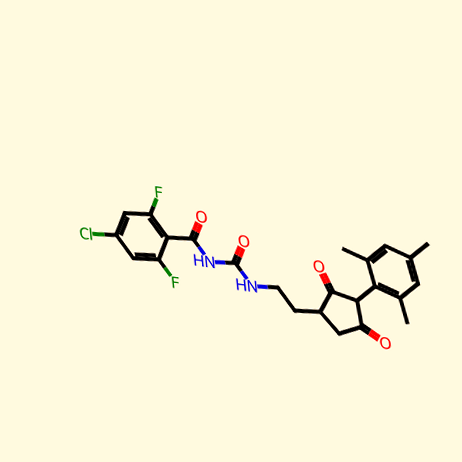 Cc1cc(C)c(C2C(=O)CC(CCNC(=O)NC(=O)c3c(F)cc(Cl)cc3F)C2=O)c(C)c1